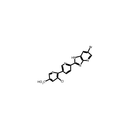 O=C(O)c1cnc(-c2ccc(-c3nc4ncc(Br)cc4[nH]3)nc2)c(Cl)c1